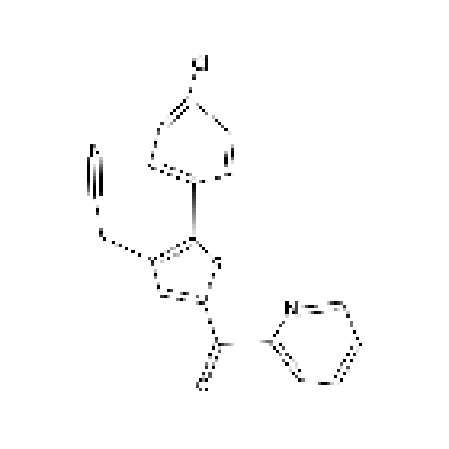 N#CCc1cc(C(=O)c2ccccn2)sc1-c1ccc(Cl)cc1